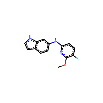 COc1nc(Nc2ccc3cc[nH]c3c2)ccc1F